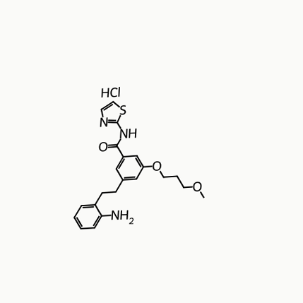 COCCCOc1cc(CCc2ccccc2N)cc(C(=O)Nc2nccs2)c1.Cl